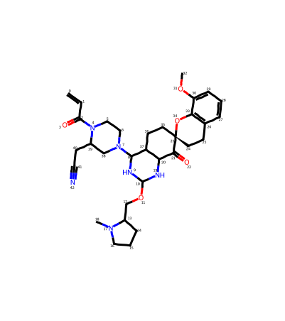 C=CC(=O)N1CCN(C2NC(OCC3CCCN3C)NC3C(=O)[C@]4(CCc5cccc(OC)c5O4)CCC32)CC1CC#N